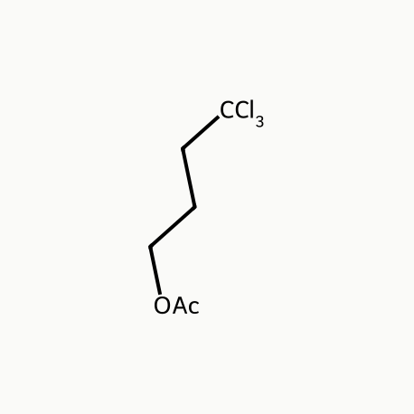 CC(=O)OCCCC(Cl)(Cl)Cl